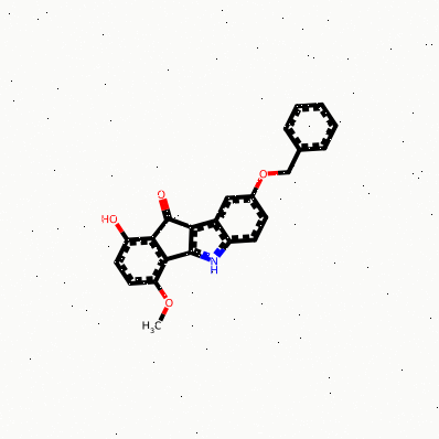 COc1ccc(O)c2c1-c1[nH]c3ccc(OCc4ccccc4)cc3c1C2=O